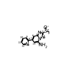 C[S+]([O-])c1nc2cc(-c3ccccn3)cc(N)n2n1